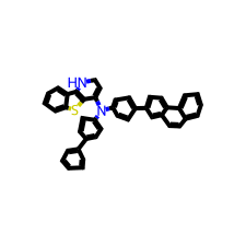 C1=C(N(c2ccc(-c3ccccc3)cc2)c2ccc(-c3ccc4c(ccc5ccccc54)c3)cc2)c2sc3ccccc3c2NC1